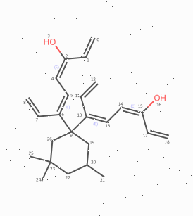 C=C/C(O)=C\C=C(/C=C)C1(/C(C=C)=C/C=C(/O)C=C)CC(C)CC(C)(C)C1